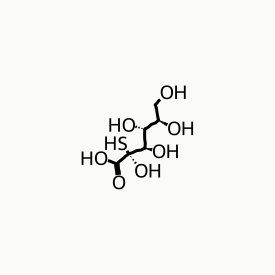 O=C(O)[C@@](O)(S)[C@H](O)[C@H](O)[C@H](O)CO